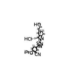 Cc1c2c(nn1-c1nnc(-c3ccc(OC(C)C)c(C#N)c3)s1)CCN(CCO)C2.Cl